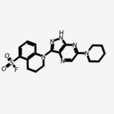 O=S(=O)(F)c1cccc2c1CCCN2c1n[nH]c2nc(N3CCCCC3)cnc12